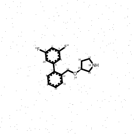 Fc1cc(F)cc(-c2ccccc2CO[C@H]2CCNC2)c1